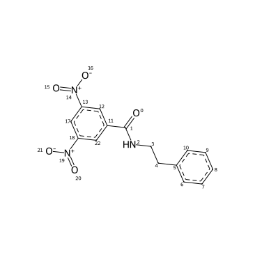 O=C(NCCc1ccccc1)c1cc([N+](=O)[O-])cc([N+](=O)[O-])c1